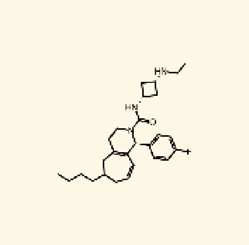 CCCCC1CC=CC2=C(CCN(C(=O)N[C@H]3C[C@@H](NCC)C3)[C@H]2c2ccc(F)cc2)C1